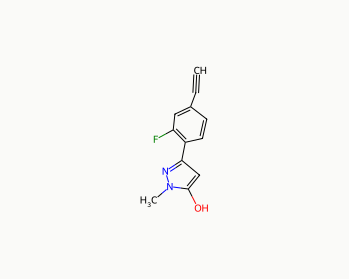 C#Cc1ccc(-c2cc(O)n(C)n2)c(F)c1